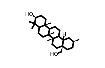 C[C@H]1CC[C@]2(CO)CC[C@@]3(C)C(CCC4[C@@]5(C)CC[C@H](O)C(C)(C)C5CC[C@]43C)[C@@H]2C1